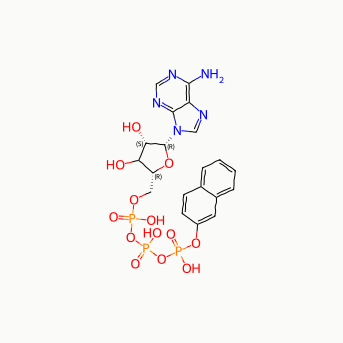 Nc1ncnc2c1ncn2[C@@H]1O[C@H](COP(=O)(O)OP(=O)(O)OP(=O)(O)Oc2ccc3ccccc3c2)C(O)[C@@H]1O